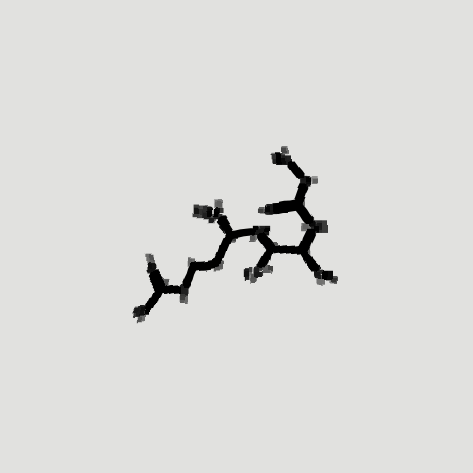 C[C@H](NC(=O)OC(C)(C)C)[C@H](N[C@@H](CCOC(=O)C(C)(C)C)C(=O)O)C(F)(F)F